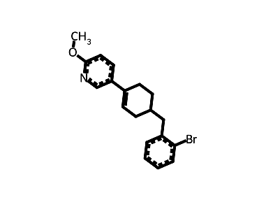 COc1ccc(C2=CCC(Cc3ccccc3Br)CC2)cn1